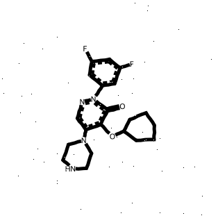 O=c1c(OC2CCCCC2)c(N2CCNCC2)cnn1-c1cc(F)cc(F)c1